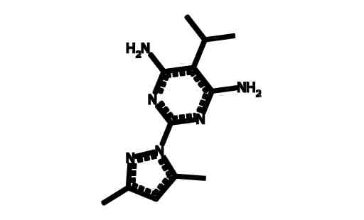 Cc1cc(C)n(-c2nc(N)c(C(C)C)c(N)n2)n1